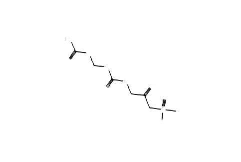 CC(C)C(=O)OCOC(=O)NCC(=O)CP(C)(=O)O